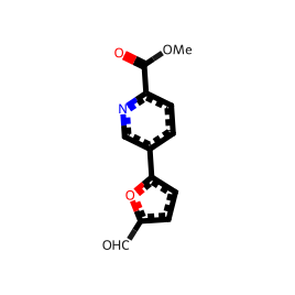 COC(=O)c1ccc(-c2ccc(C=O)o2)cn1